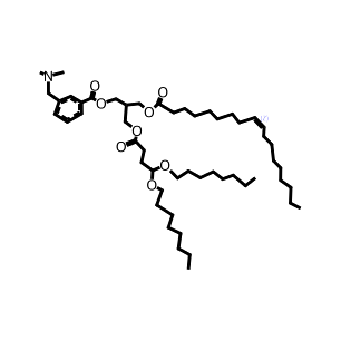 CCCCCCCC/C=C\CCCCCCCC(=O)OCC(COC(=O)CCC(OCCCCCCCC)OCCCCCCCC)COC(=O)c1cccc(CN(C)C)c1